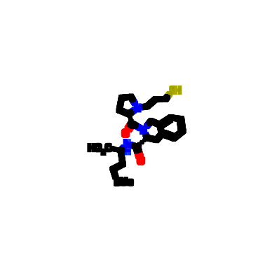 CSCC[C@H](NC(=O)[C@H]1Cc2ccccc2CN1C(=O)[C@@H]1CCCN1CCCS)C(=O)O